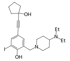 CCN(CC)C1CCN(Cc2cc(C#CC3(O)CCCC3)cc(I)c2O)CC1